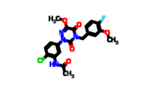 COc1cc(Cn2c(=O)c(OC)nn(-c3ccc(Cl)c(NC(C)=O)c3)c2=O)ccc1F